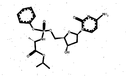 CC(C)OC(=O)[C@H](C)NP(=O)(OC[C@H]1O[C@@H](n2ccc(N)nc2=O)C[C@H]1O)Oc1ccccc1